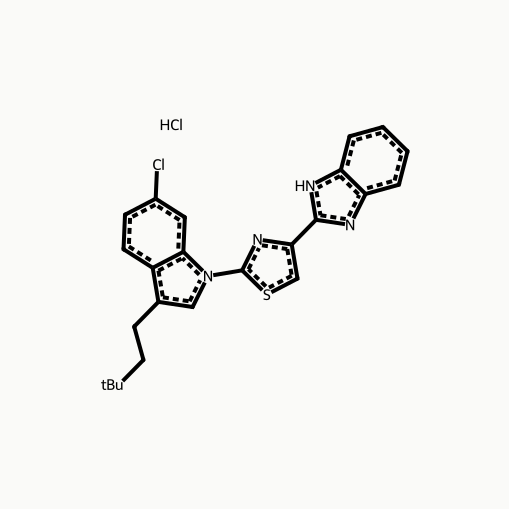 CC(C)(C)CCc1cn(-c2nc(-c3nc4ccccc4[nH]3)cs2)c2cc(Cl)ccc12.Cl